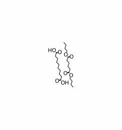 CCCCOC(=O)CCCCC(=O)OCCCC.O=C(O)CCCCCCCCC(=O)O